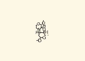 CO[C@H]1C[C@H]2[C@H](O[C@@H]3[C@@H](OC)OCCN32)[C@H](C)O1